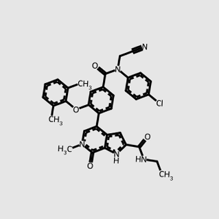 CCNC(=O)c1cc2c(-c3ccc(C(=O)N(CC#N)c4ccc(Cl)cc4)cc3Oc3c(C)cccc3C)cn(C)c(=O)c2[nH]1